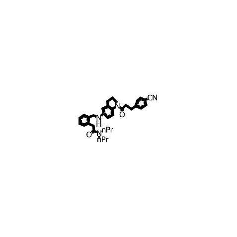 CCCN(CCC)C(=O)Cc1ccccc1CNc1ccc2c(c1)CCCN2C(=O)CCc1ccc(C#N)cc1